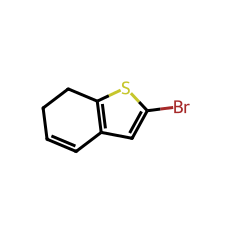 Brc1cc2c(s1)CCC=C2